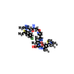 C=N/C(C)=C(\SC)c1ccc([C@H](C)NC(=O)[C@@H]2C[C@@H](O)CN2C(=O)[C@H](C(C)C)n2cc(-c3ccc(O[C@H]4C[C@H](NC(=O)C[C@@H]5N=C(c6ccc(Cl)cc6)c6c(sc(C)c6C)-n6c(C)nnc65)C4)nc3)cn2)cc1